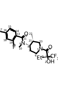 CC[C@@](O)(C(=O)N1CC[C@H](N(C)C(=O)c2ccc(C)cc2F)[C@H](C)C1)C(F)(F)F